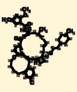 COc1nn(C)cc1C(=O)NS1(=O)=NC(=O)c2ccc3c(c2)N(Cc2ccc(Cl)cc2CCCCO3)C[C@@H]2CC[C@H]2[C@@H](OCCN2CCN(C)CC2)/C=C/C[C@H](C)C1